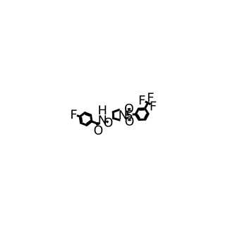 O=C(NO[C@@H]1CCN(S(=O)(=O)c2cccc(C(F)(F)F)c2)C1)c1ccc(F)cc1